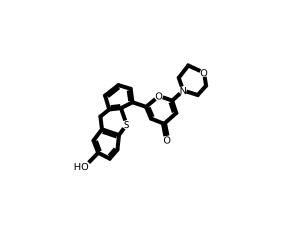 O=c1cc(-c2cccc3c2Sc2ccc(O)cc2C3)oc(N2CCOCC2)c1